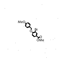 COC(=O)c1ccc(OCc2ccc(OC)cc2)c(Br)c1